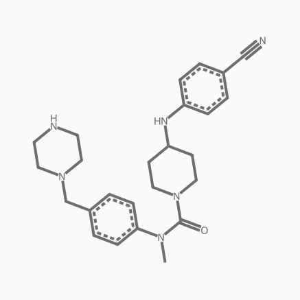 CN(C(=O)N1CCC(Nc2ccc(C#N)cc2)CC1)c1ccc(CN2CCNCC2)cc1